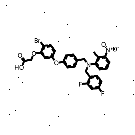 Cc1c(N(Cc2ccc(Oc3ccc(Br)c(OCC(=O)O)c3)cc2)Cc2ccc(F)cc2F)cccc1[N+](=O)[O-]